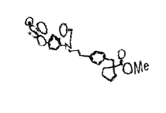 COC(=O)C1(Cc2ccc(CCCN3CCOc4cc(OS(C)(=O)=O)ccc43)cc2)CCCC1